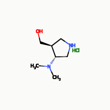 CN(C)[C@H]1CNC[C@@H]1CO.Cl